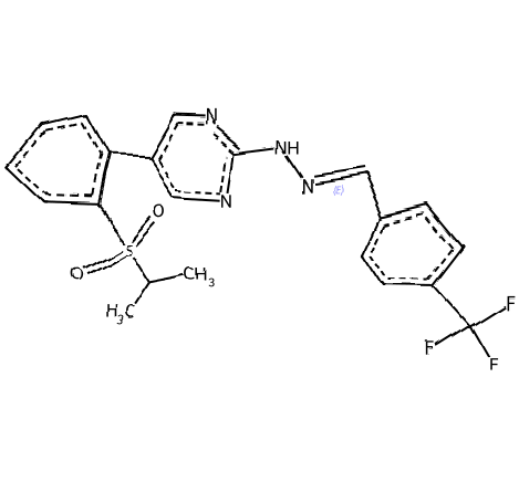 CC(C)S(=O)(=O)c1ccccc1-c1cnc(N/N=C/c2ccc(C(F)(F)F)cc2)nc1